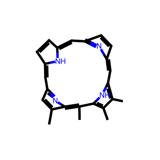 CC1=Cc2cc3ccc(cc4nc(cc5[nH]c(c(C)c1n2)c(C)c5C)C=C4)[nH]3